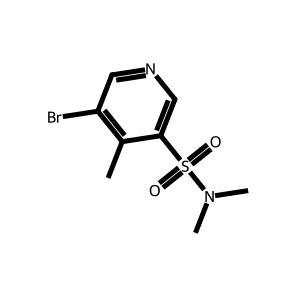 Cc1c(Br)cncc1S(=O)(=O)N(C)C